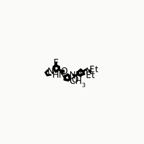 CCN(CC)Cc1ccc(C(=O)Nc2cc(NC(=O)c3cc(F)cc(N4CCCC4)c3)ccc2C)cc1